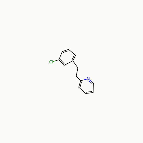 Clc1cccc(CCc2ccccn2)c1